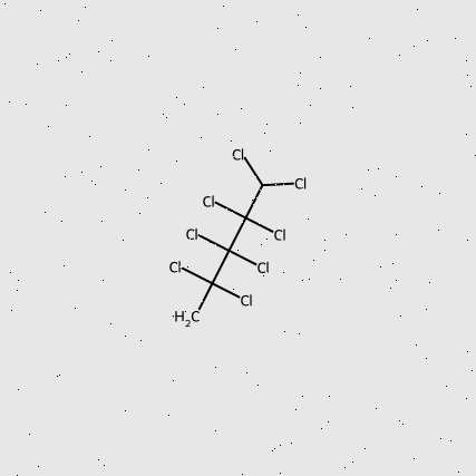 [CH2]C(Cl)(Cl)C(Cl)(Cl)C(Cl)(Cl)C(Cl)Cl